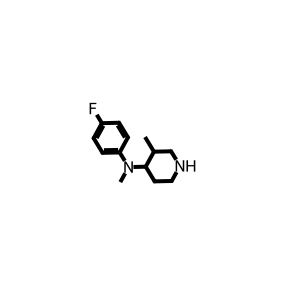 CC1CNCCC1N(C)c1ccc(F)cc1